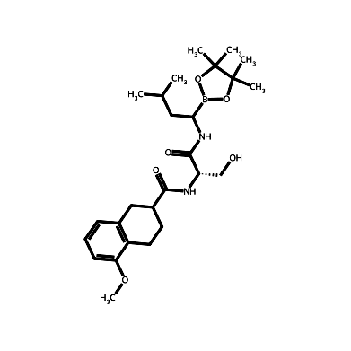 COc1cccc2c1CCC(C(=O)N[C@@H](CO)C(=O)NC(CC(C)C)B1OC(C)(C)C(C)(C)O1)C2